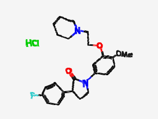 COc1ccc(N2CCC(c3ccc(F)cc3)C2=O)cc1OCCN1CCCCC1.Cl